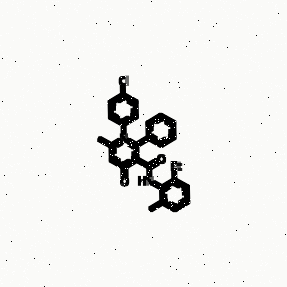 CCc1cccc(C)c1NC(=O)c1c(-c2ccccc2)n(-c2ccc(Cl)cc2)c(C)cc1=O